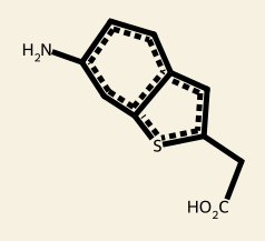 Nc1ccc2cc(CC(=O)O)sc2c1